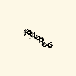 Cc1ccc(C(=O)NCc2cc3nc(-c4cccc(C5=CCCOC5)n4)ccc3cn2)cc1S(C)(=O)=O